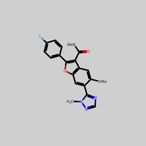 CNC(=O)c1c(-c2ccc(F)cc2)oc2cc(-c3ncnn3C)c(OC)cc12